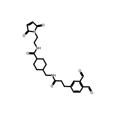 O=Cc1ccc(CCC(=O)NCC2CCC(C(=O)NCCN3C(=O)C=CC3=O)CC2)cc1C=O